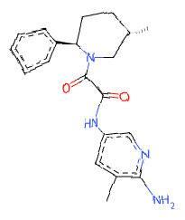 Cc1cc(NC(=O)C(=O)N2C[C@@H](C)CC[C@@H]2c2ccccc2)cnc1N